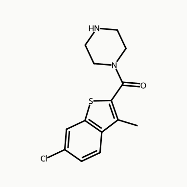 Cc1c(C(=O)N2CCNCC2)sc2cc(Cl)ccc12